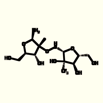 B[C@@H]1O[C@H](CO)[C@@H](O)[C@@]1(C)OB[C@@H]1O[C@H](CO)[C@@H](O)[C@]1(O)C(F)(F)F